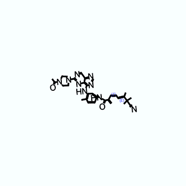 C=C(/C=C\C=C(/C)C(C)(C)C#N)C(=O)Nc1ccc(C)c(Nc2ncnc3cnc(N4CCN(C(C)=O)CC4)nc23)c1